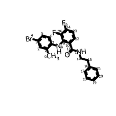 Cc1cc(Br)ccc1Nc1c(C(=O)NCCc2ccccc2)ccc(F)c1F